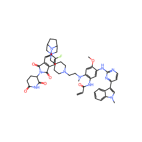 C=CC(=O)Nc1cc(Nc2nccc(-c3cn(C)c4ccccc34)n2)c(OC)cc1N(C)CCN1CCC(CN2CC3CCC(C2)N3c2cc3c(cc2F)C(=O)N(C2CCC(=O)NC2=O)C3=O)CC1